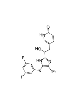 CC(C)c1nc(C(O)Cc2ccc(=O)[nH]c2)[nH]c1Sc1cc(F)cc(F)c1